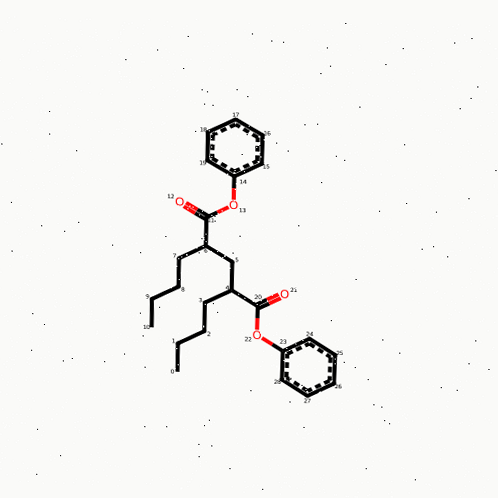 CCCCC(CC(CCCC)C(=O)Oc1ccccc1)C(=O)Oc1ccccc1